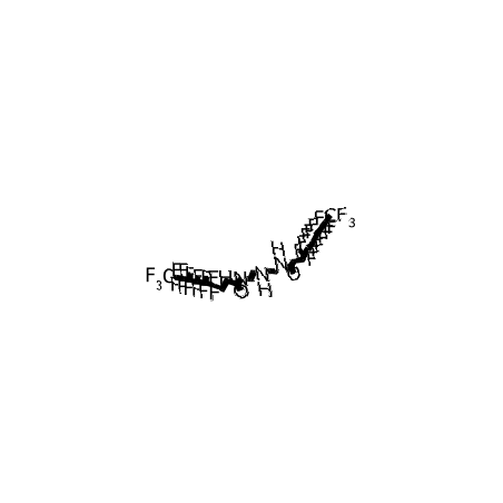 O=C(CCC(F)(F)C(F)(F)C(F)(F)C(F)(F)C(F)(F)C(F)(F)C(F)(F)F)NCCNCCNC(=O)CCC(F)(F)C(F)(F)C(F)(F)C(F)(F)C(F)(F)C(F)(F)C(F)(F)F